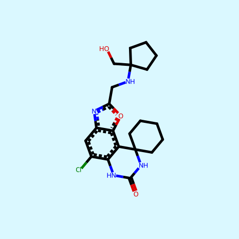 O=C1Nc2c(Cl)cc3nc(CNC4(CO)CCCC4)oc3c2C2(CCCCC2)N1